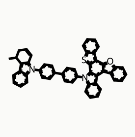 CC1CC=Cc2c1c1ccccc1n2-c1ccc(-c2ccc(-n3c4ccccc4c4c5c6ccccc6oc5c5c6ccccc6sc5c43)cc2)cc1